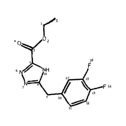 CCOC(=O)c1nnc(Cc2ccc(F)c(F)c2)[nH]1